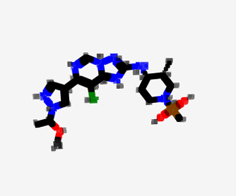 CCOC(C)n1cc(-c2ncn3nc(N[C@H]4CCN(S(C)(=O)=O)C[C@H]4C)nc3c2Br)cn1